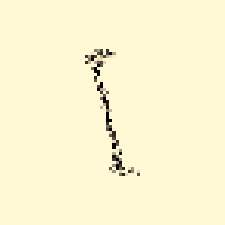 COC(=O)CCOCCOCCOCCOCCOCCOCCNC(=O)OC